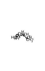 CCC/C=C(/CCNC(C)CCC=C(C)C)c1cc(O)ccc1C